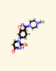 CC(=O)N1CCN(c2noc3cc(-n4ccc(=O)[nH]c4=O)ccc23)CC1